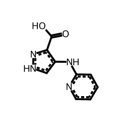 O=C(O)c1n[nH]cc1Nc1ccccn1